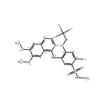 CNS(=O)(=O)c1cc(Nc2ncnc3cc(OC)c(OC)cc23)c(OCC(F)(F)F)cc1F